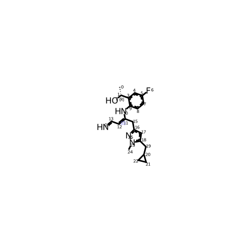 C[C@@H](O)c1cc(F)ccc1N/C(=C\C=N)Cc1cc(CC2CC2)n(C)n1